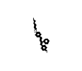 ICCCCCOc1ccc(CCC(=Cc2ccc(I)cc2)c2ccccc2)cc1